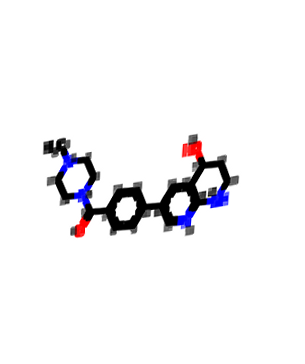 CN1CCN(C(=O)c2ccc(-c3cnc4c(c3)C(O)CCN4)cc2)CC1